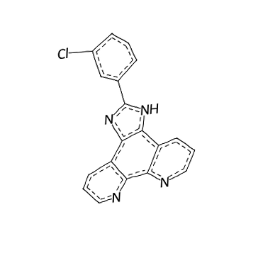 Clc1cccc(-c2nc3c4cccnc4c4ncccc4c3[nH]2)c1